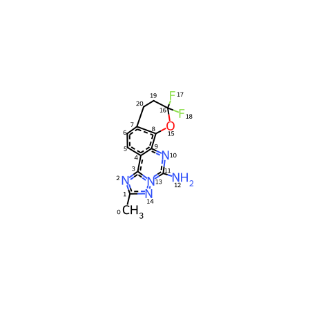 Cc1nc2c3ccc4c(c3nc(N)n2n1)OC(F)(F)CC4